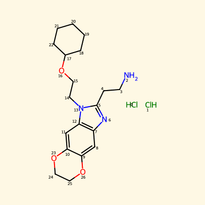 Cl.Cl.NCCc1nc2cc3c(cc2n1CCOC1CCCCC1)OCCO3